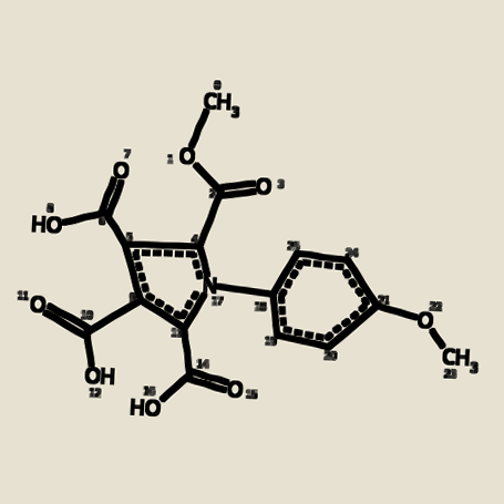 COC(=O)c1c(C(=O)O)c(C(=O)O)c(C(=O)O)n1-c1ccc(OC)cc1